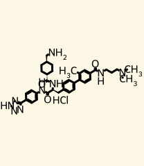 Cc1cc(C(=O)NCCCN(C)C)ccc1-c1ccc(C[C@H](NC(=O)[C@H]2CC[C@H](CN)CC2)C(=O)Nc2ccc(-c3nn[nH]n3)cc2)cc1.Cl